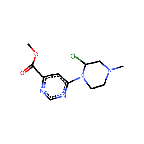 COC(=O)c1cc(N2CCN(C)CC2Cl)ncn1